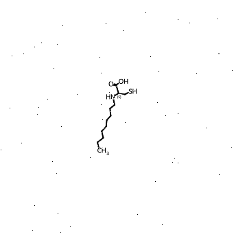 CCCCCCCCCN[C@H](CS)C(=O)O